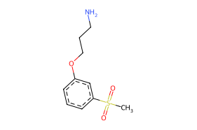 CS(=O)(=O)c1cccc(OCCCN)c1